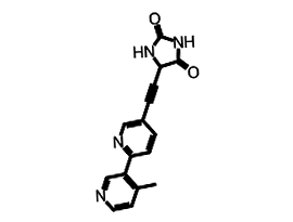 Cc1ccncc1-c1ccc(C#CC2NC(=O)NC2=O)cn1